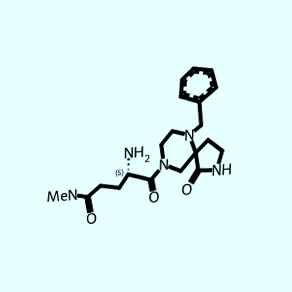 CNC(=O)CC[C@H](N)C(=O)N1CCN(Cc2ccccc2)C2(CCNC2=O)C1